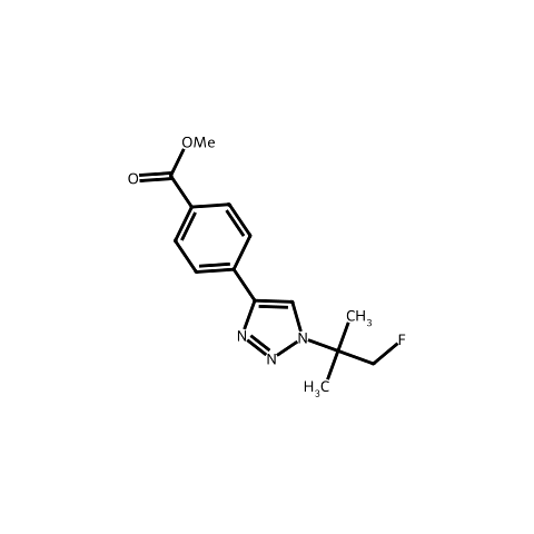 COC(=O)c1ccc(-c2cn(C(C)(C)CF)nn2)cc1